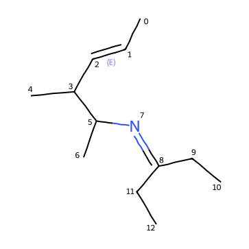 C/C=C/C(C)C(C)N=C(CC)CC